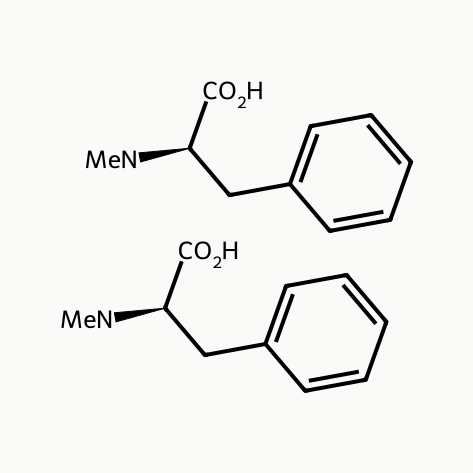 CN[C@H](Cc1ccccc1)C(=O)O.CN[C@H](Cc1ccccc1)C(=O)O